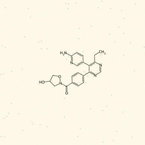 CCc1ncnc(-c2ccc(C(=O)N3CC(O)CO3)cc2)c1-c1ccc(N)nc1